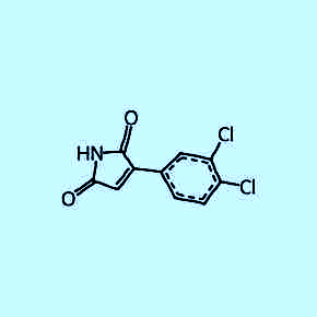 O=C1C=C(c2ccc(Cl)c(Cl)c2)C(=O)N1